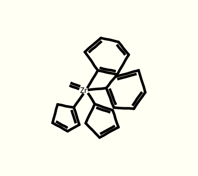 [CH2]=[Zr]([C]1=CC=CC1)([C]1=CC=CC1)([c]1ccccc1)[c]1ccccc1